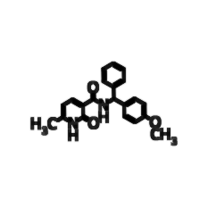 COc1ccc(C(NC(=O)c2ccc(C)[nH]c2=O)c2ccccc2)cc1